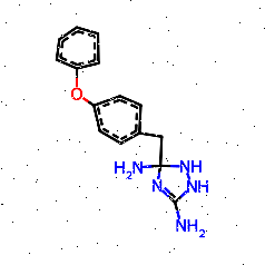 NC1=NC(N)(Cc2ccc(Oc3ccccc3)cc2)NN1